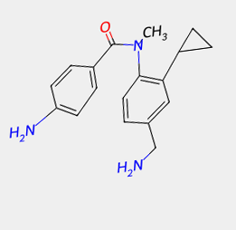 CN(C(=O)c1ccc(N)cc1)c1ccc(CN)cc1C1CC1